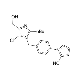 CCCCc1nc(CO)c(Cl)n1Cc1ccc(-n2cccc2C#N)cc1